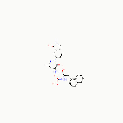 C=CC(CC1CCNC1=O)NC(=O)C(CC(C)C)NC(=O)C(Cc1cccc2ccccc12)NC(=O)O